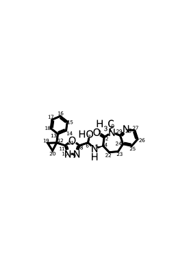 CN1C(=O)[C@H](NC(O)c2nnc(C3(c4ccccc4)CC3)o2)CCc2cccnc21